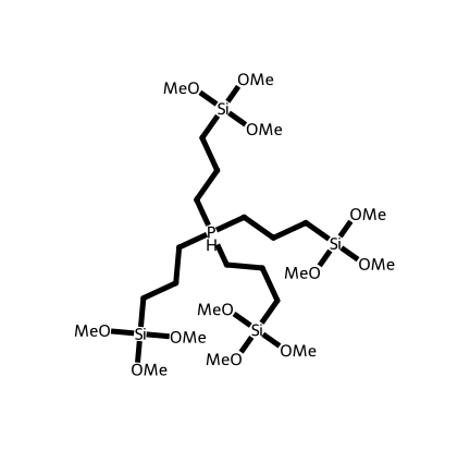 CO[Si](CCC[PH](CCC[Si](OC)(OC)OC)(CCC[Si](OC)(OC)OC)CCC[Si](OC)(OC)OC)(OC)OC